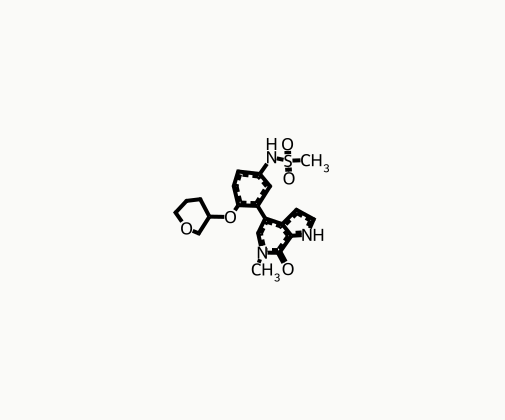 Cn1cc(-c2cc(NS(C)(=O)=O)ccc2OC2CCCOC2)c2cc[nH]c2c1=O